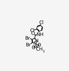 CS(=O)(=O)n1nc(C(=O)Nc2ccc(Cl)cc2Cl)c(Br)c1Br